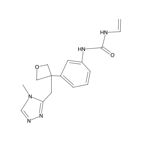 C=CNC(=O)Nc1cccc(C2(Cc3nncn3C)COC2)c1